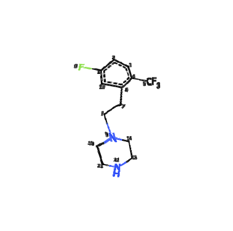 Fc1ccc(C(F)(F)F)c(CCN2CCNCC2)c1